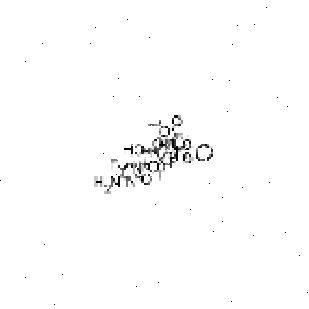 CC(C)OC(=O)[C@H](C)NP(=O)(OC[C@@]1(C(F)F)O[C@@H](n2cc(F)c(N)nc2=O)[C@H](O)[C@H]1O)Oc1ccccc1